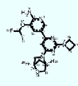 Nc1ncc(-c2cc(N3C[C@H]4C[C@@H]3CO4)nc(N3CCC3)n2)cc1OC(F)F